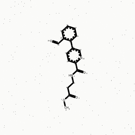 COC(=O)CCNC(=O)c1ccc(-c2ccccc2C=O)cn1